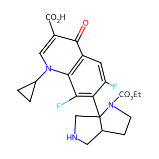 CCOC(=O)N1CCC2CNCC21c1c(F)cc2c(=O)c(C(=O)O)cn(C3CC3)c2c1F